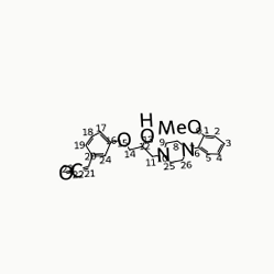 COc1ccccc1N1CCN(CC(O)COc2cccc(C=C=O)c2)CC1